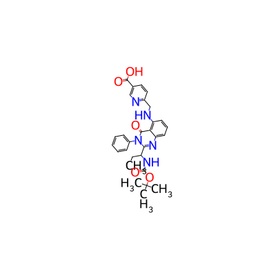 CCC(NC(=O)OC(C)(C)C)c1nc2cccc(NCc3ccc(C(=O)O)cn3)c2c(=O)n1-c1ccccc1